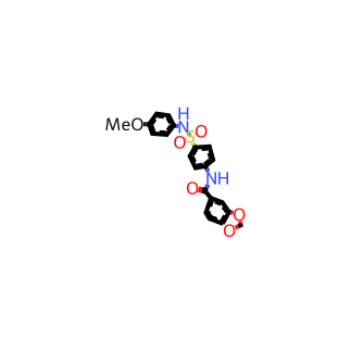 COc1ccc(NS(=O)(=O)c2ccc(NC(=O)c3ccc4c(c3)OCO4)cc2)cc1